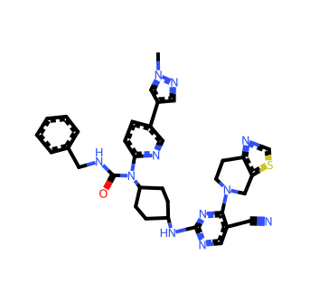 Cn1cc(-c2ccc(N(C(=O)NCc3ccccc3)C3CCC(Nc4ncc(C#N)c(N5CCc6ncsc6C5)n4)CC3)nc2)cn1